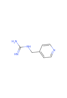 N=C(N)NCc1ccncc1